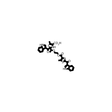 CC1=C(C(=O)O)NC(C(=O)c2c[nH]c3ccccc23)(C(C)OCCOC(=O)c2nc(C(=O)c3c[nH]c4ccccc34)sc2C)S1